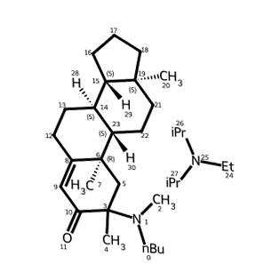 CCCCN(C)C1(C)C[C@@]2(C)C(=CC1=O)CC[C@H]1[C@@H]3CCC[C@@]3(C)CC[C@@H]12.CCN(C(C)C)C(C)C